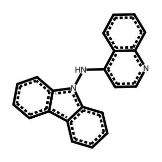 c1ccc2c(Nn3c4ccccc4c4ccccc43)ccnc2c1